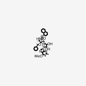 COc1nc(C)nc2c1ncn2C1O[C@H](COP(=O)(N[C@@H](C)C(=O)O[C@@H](C)c2ccccc2)Oc2cccc3ccccc23)[C@@H](O)[C@@]1(C)O